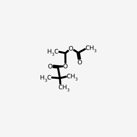 CC(=O)OC(C)OC(=O)C(C)(C)C